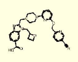 N#Cc1ccc(COc2cccc(N3CCN(Cc4nc5ccc(C(=O)O)cc5n4CC4CCO4)CC3)n2)nc1